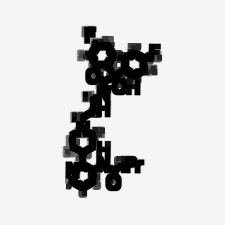 CC(C)C(=O)Nc1cccnc1C1CCN(CCCNC(=O)C(O)(c2ccc(F)cc2)c2ccc(F)cc2)CC1